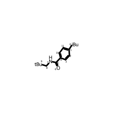 CCC(C)c1ccc(C(=O)NCC(C)(C)C)cc1